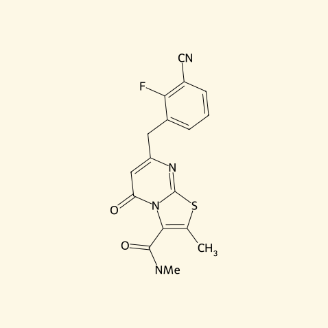 CNC(=O)c1c(C)sc2nc(Cc3cccc(C#N)c3F)cc(=O)n12